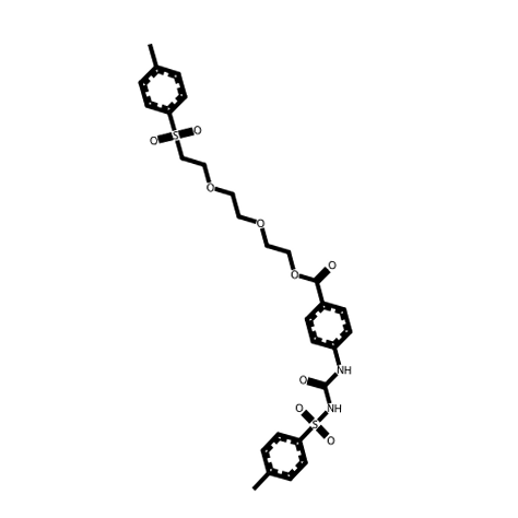 Cc1ccc(S(=O)(=O)CCOCCOCCOC(=O)c2ccc(NC(=O)NS(=O)(=O)c3ccc(C)cc3)cc2)cc1